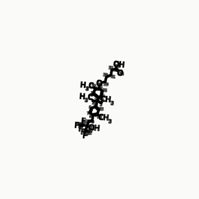 CCC(CC)(c1ccc(C=CC(O)(C(F)(F)F)C(F)(F)F)c(C)c1)c1ccc(OCCCCC(=O)O)c(C)c1